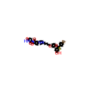 O=C1CCC(N2C(=O)c3ccc(N4CCN(CCCCCOc5ccc(Oc6c(-c7ccc(Br)cc7)sc7cc(O)ccc67)cc5)CC4)cc3C2=O)C(=O)N1